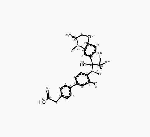 C[C@@H](c1ccc(-c2ccc(CC(=O)O)cc2)cc1Cl)[C@](O)(c1ccc2c(c1)N(C)C(=O)CO2)C(F)(F)F